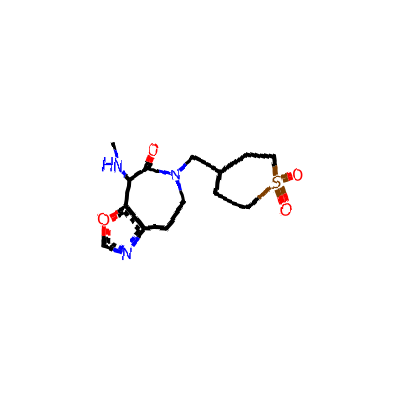 CNC1C(=O)N(CC2CCS(=O)(=O)CC2)CCc2ncoc21